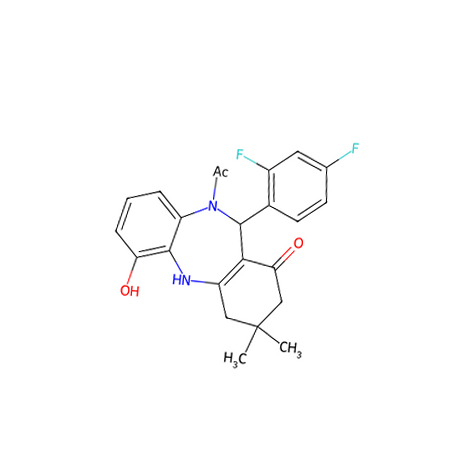 CC(=O)N1c2cccc(O)c2NC2=C(C(=O)CC(C)(C)C2)C1c1ccc(F)cc1F